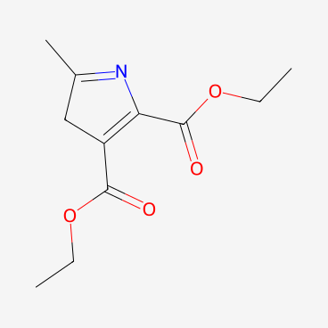 CCOC(=O)C1=C(C(=O)OCC)N=C(C)C1